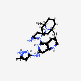 Cc1cc(Nc2cc3ncccc3c(N(C)[C@@H]3C[C@H]4CCC[C@@H](C3)N4CCC#N)n2)n[nH]1